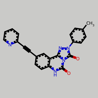 Cc1ccc(-n2nc3c4cc(C#Cc5ccccn5)ccc4[nH]c(=O)n3c2=O)cc1